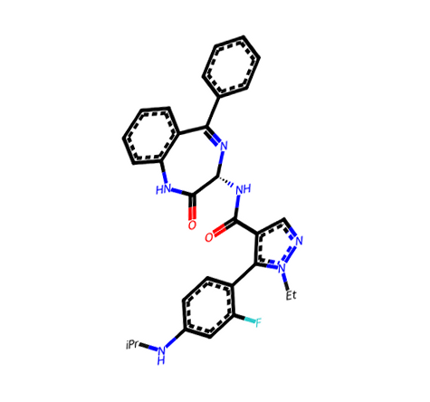 CCn1ncc(C(=O)N[C@H]2N=C(c3ccccc3)c3ccccc3NC2=O)c1-c1ccc(NC(C)C)cc1F